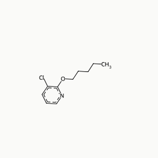 CCCCCOc1ncccc1Cl